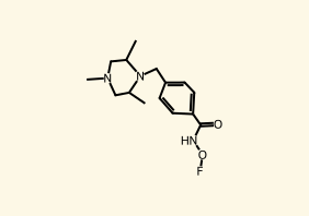 CC1CN(C)CC(C)N1Cc1ccc(C(=O)NOF)cc1